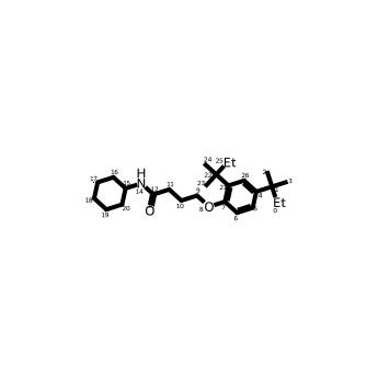 CCC(C)(C)c1ccc(OCCCC(=O)NC2C[CH]CCC2)c(C(C)(C)CC)c1